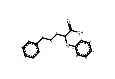 O=C(O)C(CCCc1ccccc1)Oc1ccccc1